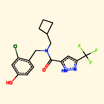 O=C(c1cc(C(F)(F)F)n[nH]1)N(Cc1ccc(O)cc1Cl)CC1CCC1